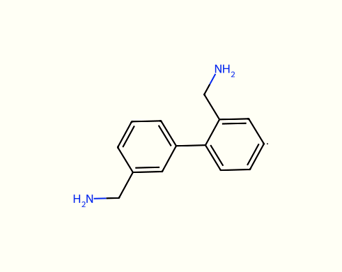 NCc1cccc(-c2cc[c]cc2CN)c1